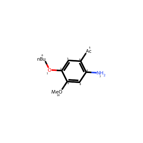 CCCCOc1cc(C(C)=O)c(N)cc1OC